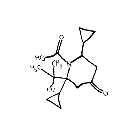 CC(C)(C)C1(C2CC2)CC(=O)CC(C2CC2)N1C(=O)O